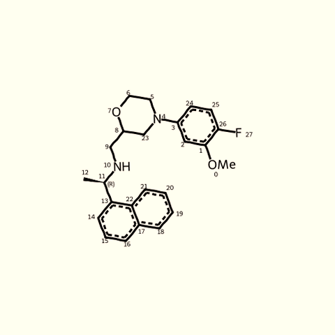 COc1cc(N2CCOC(CN[C@H](C)c3cccc4ccccc34)C2)ccc1F